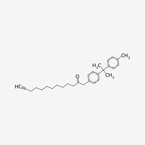 C#CCCCCCCCCCC(=O)Cc1ccc(C(C)(C)c2ccc(C)cc2)cc1